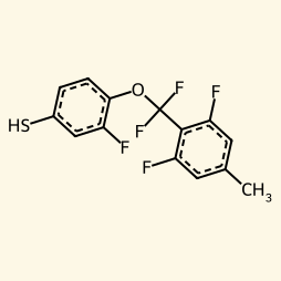 Cc1cc(F)c(C(F)(F)Oc2ccc(S)cc2F)c(F)c1